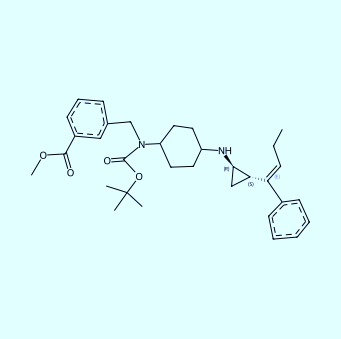 CC/C=C(/c1ccccc1)[C@@H]1C[C@H]1NC1CCC(N(Cc2cccc(C(=O)OC)c2)C(=O)OC(C)(C)C)CC1